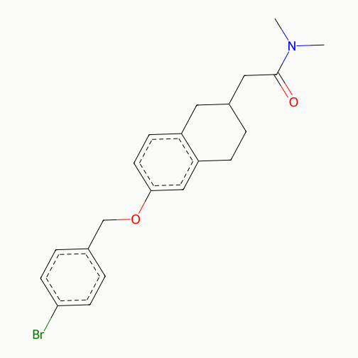 CN(C)C(=O)CC1CCc2cc(OCc3ccc(Br)cc3)ccc2C1